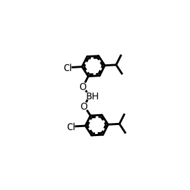 CC(C)c1ccc(Cl)c(OBOc2cc(C(C)C)ccc2Cl)c1